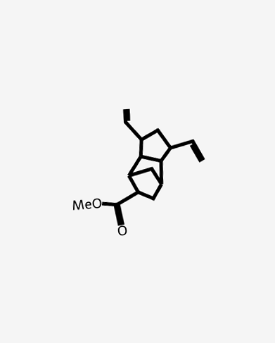 C=CC1CC(C=C)C2C3CC(CC3C(=O)OC)C12